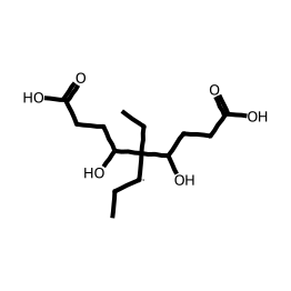 CC[CH]C(CC)(C(O)CCC(=O)O)C(O)CCC(=O)O